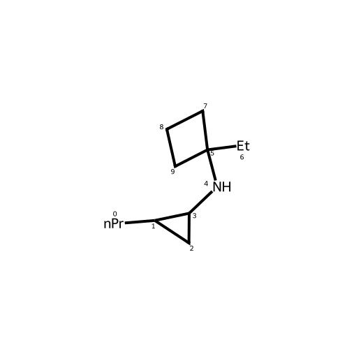 CCCC1CC1NC1(CC)CCC1